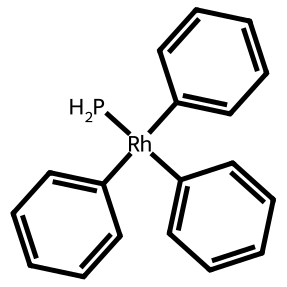 [PH2][Rh]([c]1ccccc1)([c]1ccccc1)[c]1ccccc1